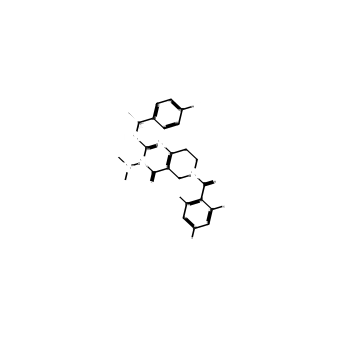 C[C@H](Nc1nc2c(c(=O)n1N(C)C)CN(C(=O)c1c(F)cc(F)cc1F)CC2)c1ccc(Cl)cc1.Cl